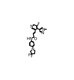 Cn1cc(-c2c(F)cncc2C=CC(=O)Nc2ccc(N3CCC(F)(F)C3)cc2)cn1